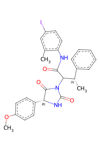 COc1ccc([C@H]2NC(=O)N(C(C(=O)Nc3ccc(I)cc3C)[C@@H](C)c3ccccc3)C2=O)cc1